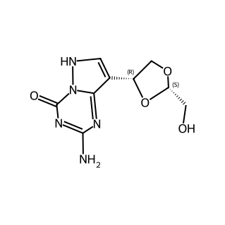 Nc1nc(=O)n2[nH]cc([C@@H]3CO[C@H](CO)O3)c2n1